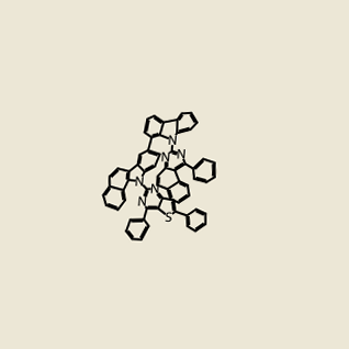 c1ccc(-c2cc3nc(-n4c5ccc(-c6cccc7c8ccccc8n(-c8nc(-c9ccccc9)c9c(ccc%10ccccc%109)n8)c67)cc5c5ccc6ccccc6c54)nc(-c4ccccc4)c3s2)cc1